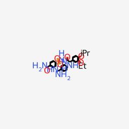 CCOc1cc(C(Nc2ccc(C(=N)N)cc2)C(=O)NNS(=O)(=O)c2ccc(C(N)=O)cc2)ccc1OC(C)C